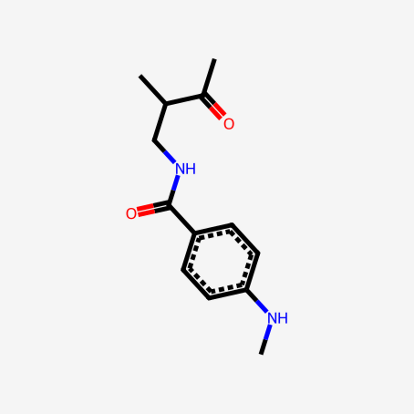 CNc1ccc(C(=O)NCC(C)C(C)=O)cc1